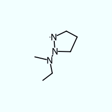 CCN(C)N1CCC[N]1